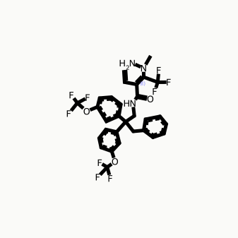 C=C/C(C(=O)NCC(Cc1ccccc1)(c1cccc(OC(F)(F)F)c1)c1cccc(OC(F)(F)F)c1)=C(\N(C)N)C(F)(F)F